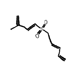 C=CC=CCS(=O)(=O)C=CC(=C)C